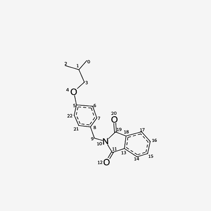 CC(C)COc1ccc(CN2C(=O)c3ccccc3C2=O)cc1